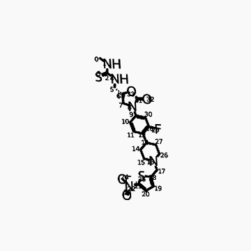 CNC(=S)NC[C@H]1CN(c2ccc(C3CCN(Cc4ccc([N+](=O)[O-])s4)CC3)c(F)c2)C(=O)O1